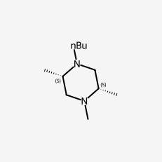 CCCCN1C[C@H](C)N(C)C[C@@H]1C